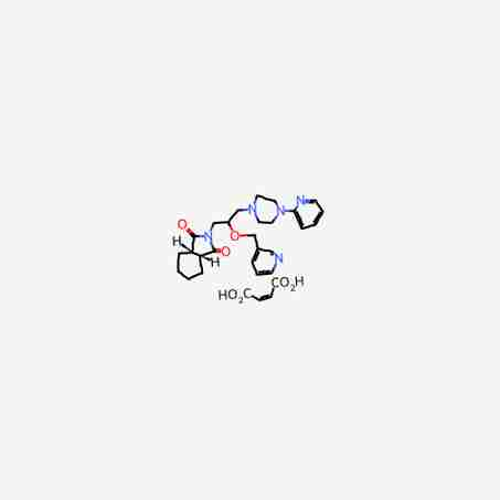 O=C(O)/C=C\C(=O)O.O=C1[C@H]2CCCC[C@H]2C(=O)N1CC(CN1CCN(c2ccccn2)CC1)OCc1cccnc1